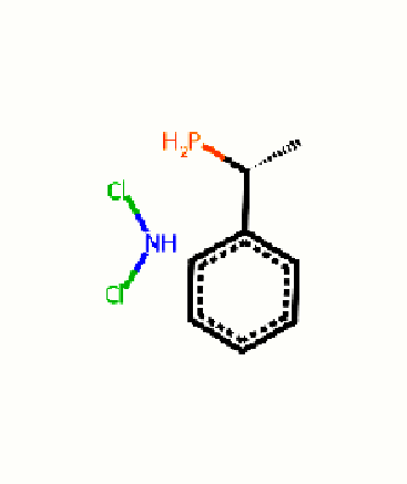 C[C@@H](P)c1ccccc1.ClNCl